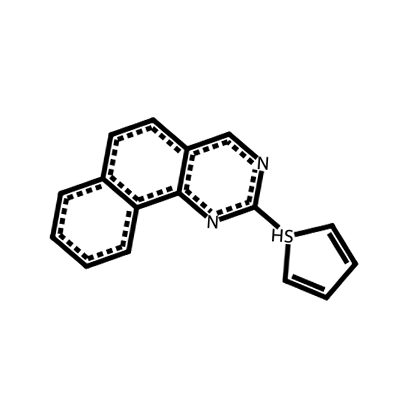 C1=C[SH](c2ncc3ccc4ccccc4c3n2)C=C1